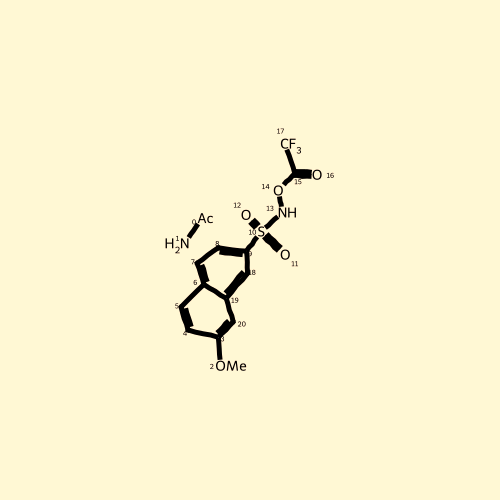 CC(N)=O.COc1ccc2ccc(S(=O)(=O)NOC(=O)C(F)(F)F)cc2c1